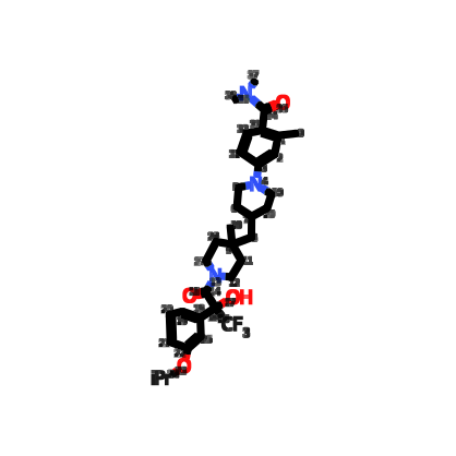 Cc1cc(N2CCC(CC3(C)CCN(C(=O)C(O)(c4cccc(OC(C)C)c4)C(F)(F)F)CC3)CC2)ccc1C(=O)N(C)C